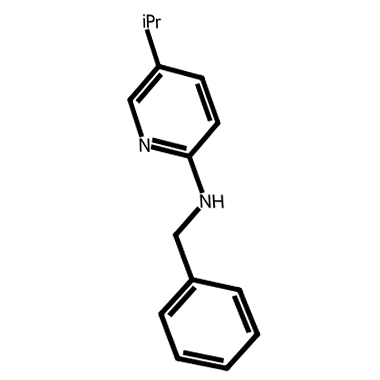 CC(C)c1ccc(NCc2ccccc2)nc1